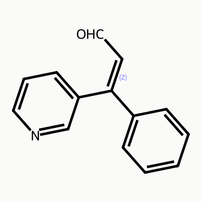 O=C/C=C(/c1ccccc1)c1cccnc1